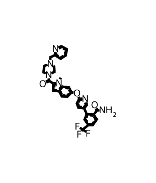 Cn1c(C(=O)N2CCN(Cc3ccccn3)CC2)cc2ccc(Oc3ccc(-c4cc(C(F)(F)F)ccc4C(N)=O)cn3)cc21